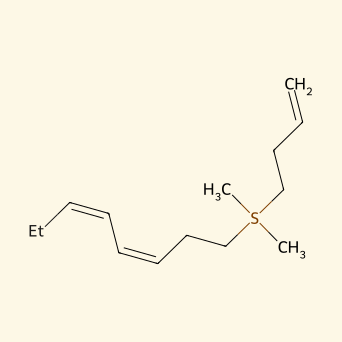 C=CCCS(C)(C)CC/C=C\C=C/CC